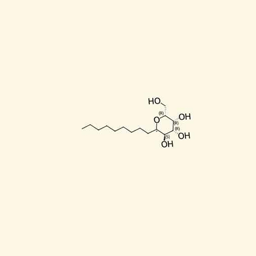 CCCCCCCCC[C]1O[C@H](CO)[C@H](O)[C@H](O)[C@H]1O